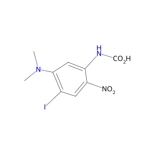 CN(C)c1cc(NC(=O)O)c([N+](=O)[O-])cc1I